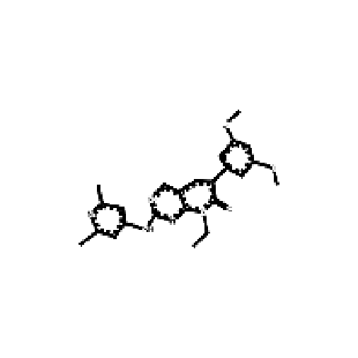 CCn1c(=O)c(-c2cc(OC)cc(OC)c2)cc2cnc(Nc3cc(C)nc(C)c3)nc21